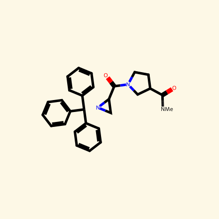 CNC(=O)C1CCN(C(=O)C2C[N@@]2C(c2ccccc2)(c2ccccc2)c2ccccc2)C1